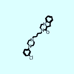 O=C1C2Cc3ccccc3N2CCN1CCCCN1CCN(c2cccc(Cl)c2)CC1